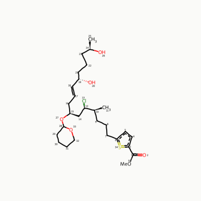 COC(=O)c1ccc(CCC[C@H](C)[C@H](Cl)C[C@H](C/C=C/[C@@H](O)CCC[C@@H](C)O)OC2CCCCO2)s1